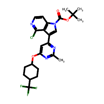 Cc1nc(OC2CCC(C(F)(F)F)CC2)cc(-c2cn(C(=O)OC(C)(C)C)c3ccnc(Cl)c23)n1